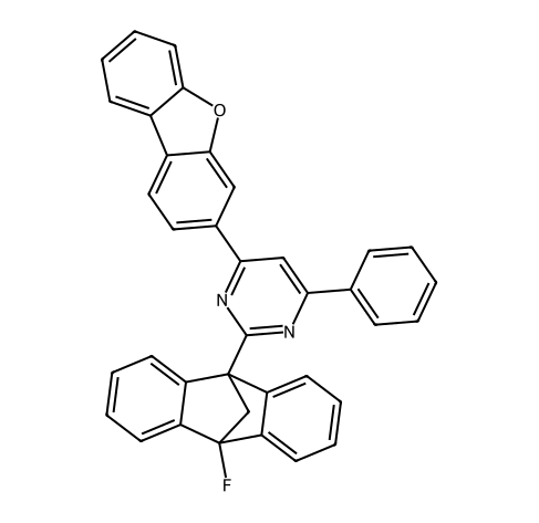 FC12CC(c3nc(-c4ccccc4)cc(-c4ccc5c(c4)oc4ccccc45)n3)(c3ccccc31)c1ccccc12